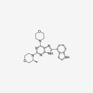 C[C@H]1COCCN1c1nc(N2CCOCC2)c2nc(-c3cccc4[nH]ccc34)[nH]c2n1